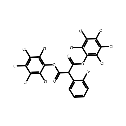 O=C(Oc1c(Cl)c(Cl)c(Cl)c(Cl)c1Cl)C(C(=O)Oc1c(Cl)c(Cl)c(Cl)c(Cl)c1Cl)c1ccccc1Br